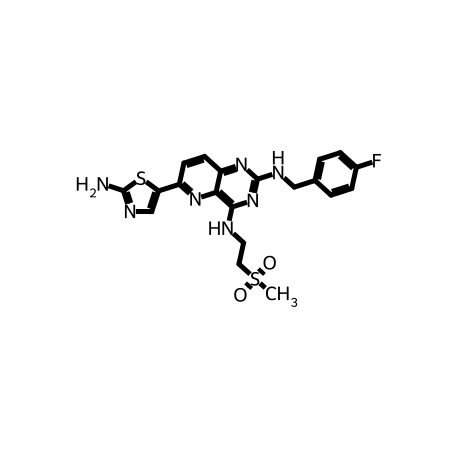 CS(=O)(=O)CCNc1nc(NCc2ccc(F)cc2)nc2ccc(-c3cnc(N)s3)nc12